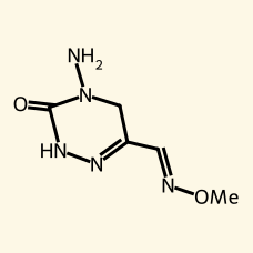 CON=CC1=NNC(=O)N(N)C1